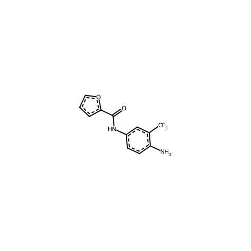 Nc1ccc(NC(=O)c2ccco2)cc1C(F)(F)F